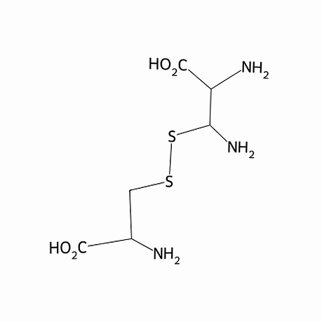 NC(CSSC(N)C(N)C(=O)O)C(=O)O